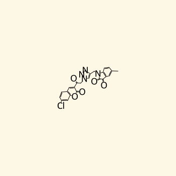 Cc1ccc2c(c1)C(=O)C(=O)N2Cc1cn(CC(=O)c2cc3ccc(Cl)cc3oc2=O)nn1